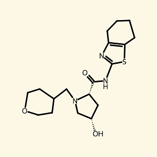 O=C(Nc1nc2c(s1)CCCC2)[C@@H]1C[C@H](O)CN1CC1CCOCC1